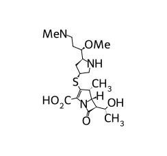 CNCC[C@@H](OC)[C@@H]1C[C@H](SC2=C(C(=O)O)N3C(=O)[C@H]([C@@H](C)O)[C@H]3[C@H]2C)CN1